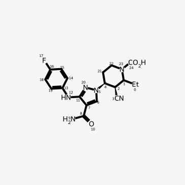 CCC1[C@@H](C#N)[C@@H](n2cc(C(N)=O)c(Nc3ccc(F)cc3)n2)CCN1C(=O)O